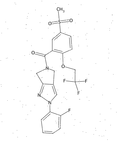 CS(=O)(=O)c1ccc(OCC(F)(F)F)c(C(=O)N2Cc3cn(-c4ccccc4F)nc3C2)c1